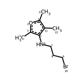 Cc1oc(C)c(NCCCBr)c1C